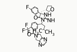 CC(C)CC(c1ccc(C(F)(F)F)c(C(=O)N2Cc3nccnc3C2)c1)N1C(=N)N[C@](C[C@@H]2CCOC2)(c2ccc(F)cc2)C1=O